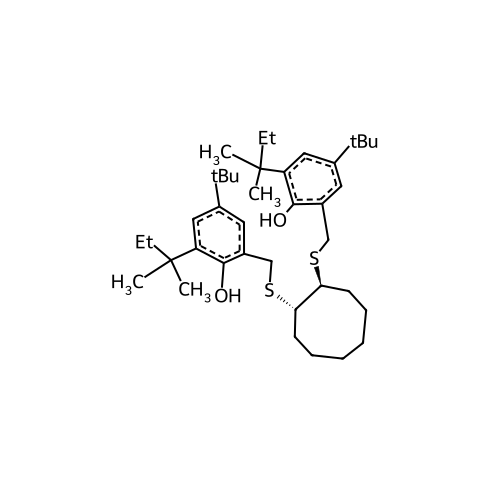 CCC(C)(C)c1cc(C(C)(C)C)cc(CS[C@H]2CCCCCC[C@@H]2SCc2cc(C(C)(C)C)cc(C(C)(C)CC)c2O)c1O